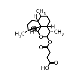 C[C@@H]1C(OC(=O)CCC(=O)O)O[C@H]2O[C@@]3(C)CC[C@@H]4[C@@H](C)CC[C@H]1C24OO3